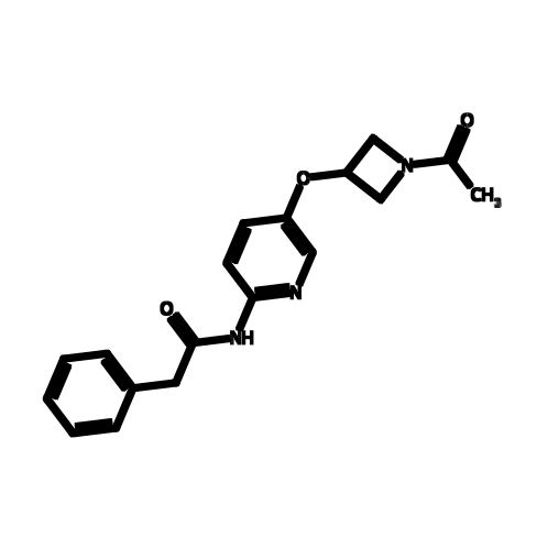 CC(=O)N1CC(Oc2ccc(NC(=O)Cc3ccccc3)nc2)C1